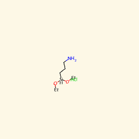 CCO[SiH](CCCN)OCC.Cl